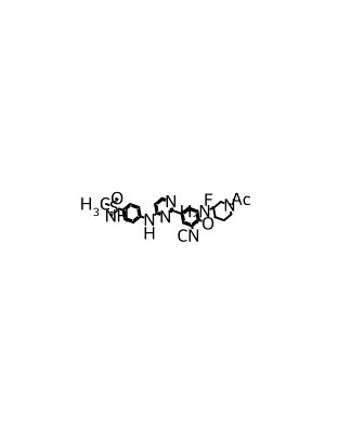 CC(=O)N1CC[C@H](Oc2ccc(-c3nccc(Nc4ccc(S(C)(=N)=O)cc4)n3)cc2C#N)C(N)(F)C1